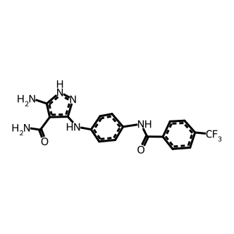 NC(=O)c1c(Nc2ccc(NC(=O)c3ccc(C(F)(F)F)cc3)cc2)n[nH]c1N